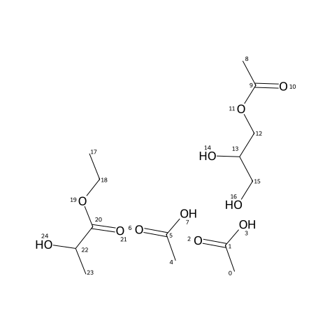 CC(=O)O.CC(=O)O.CC(=O)OCC(O)CO.CCOC(=O)C(C)O